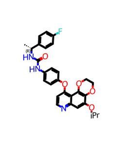 CC(C)Oc1cc2nccc(Oc3ccc(NC(=O)N[C@H](C)c4ccc(F)cc4)cc3)c2c2c1OCCO2